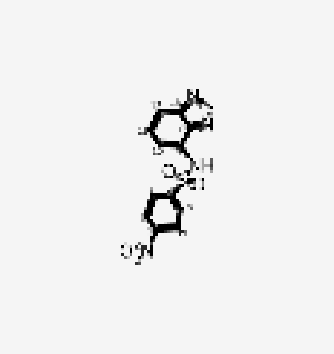 O=[N+]([O-])c1ccc(S(=O)(=O)Nc2cccc3nsnc23)cc1